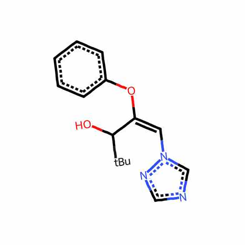 CC(C)(C)C(O)C(=Cn1cncn1)Oc1ccccc1